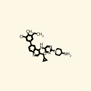 CCc1cc(-c2ccc3ncc(C(=O)C4CC4)c(Nc4cnc(N5CCC(N)CC5)nc4)c3c2)cc(Cl)c1C